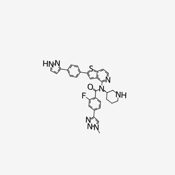 Cn1cc(-c2ccc(C(=O)N(c3nccc4sc(-c5ccc(-c6cc[nH]n6)cc5)cc34)[C@@H]3CCCNC3)c(F)c2)nn1